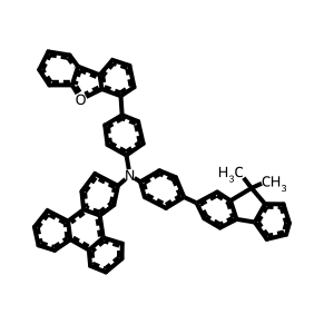 CC1(C)c2ccccc2-c2ccc(-c3ccc(N(c4ccc(-c5cccc6c5oc5ccccc56)cc4)c4ccc5c6ccccc6c6ccccc6c5c4)cc3)cc21